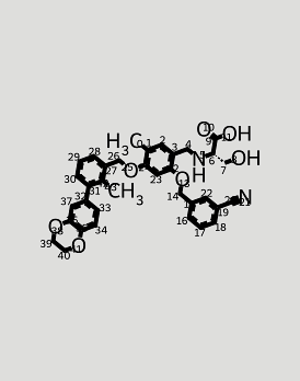 Cc1cc(CN[C@@H](CO)C(=O)O)c(OCc2cccc(C#N)c2)cc1OCc1cccc(-c2ccc3c(c2)OCCO3)c1C